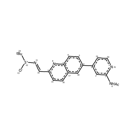 CC(=O)Nc1cc(-c2ccc3nc(C=N[S+]([O-])C(C)(C)C)ccc3c2)ccn1